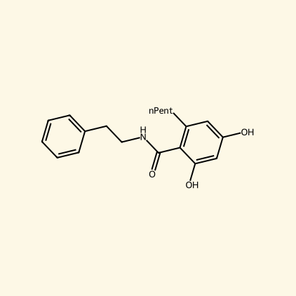 CCCCCc1cc(O)cc(O)c1C(=O)NCCc1ccccc1